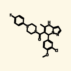 COc1ccc(C2C(C(=O)N3CCN(c4ccc(F)cc4)CC3)=C(C)Nc3ccnn32)cc1Cl